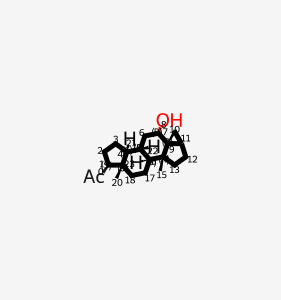 CC(=O)[C@H]1CC[C@H]2[C@@H]3C[C@@H](O)[C@]45CC4CC[C@]5(C)[C@H]3CC[C@]12C